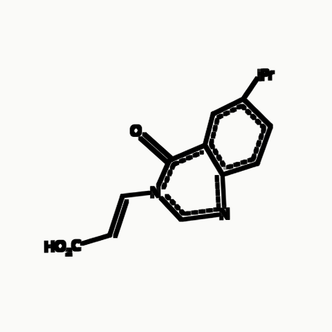 CC(C)c1ccc2ncn(C=CC(=O)O)c(=O)c2c1